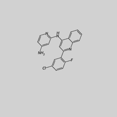 Nc1ccnc(Nc2cc(-c3cc(Cl)ccc3F)nc3ccccc23)c1